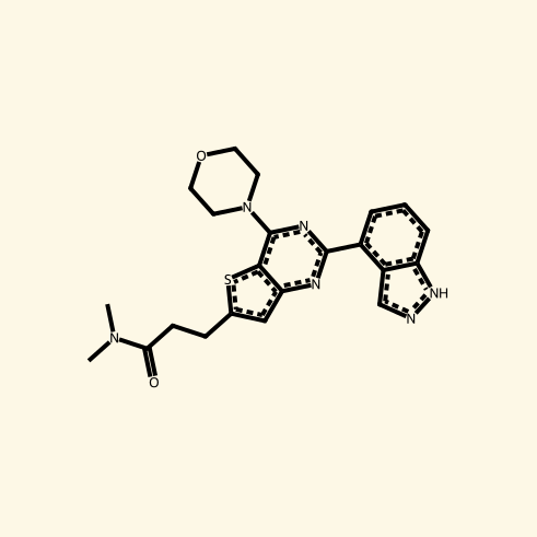 CN(C)C(=O)CCc1cc2nc(-c3cccc4[nH]ncc34)nc(N3CCOCC3)c2s1